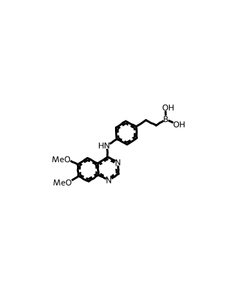 COc1cc2ncnc(Nc3ccc(CCB(O)O)cc3)c2cc1OC